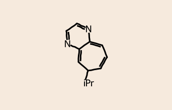 CC(C)C1C=CC=c2nccnc2=C1